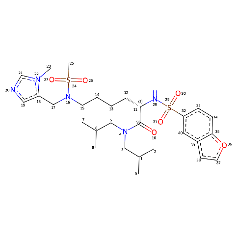 CC(C)CN(CC(C)C)C(=O)[C@H](CCCCN(Cc1cncn1C)S(C)(=O)=O)NS(=O)(=O)c1ccc2occc2c1